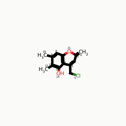 C=C1C=C(CCl)c2c(cc(C)c(C)c2O)O1